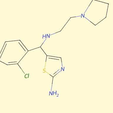 Nc1ncc(C(NCCN2CCCC2)c2ccccc2Cl)s1